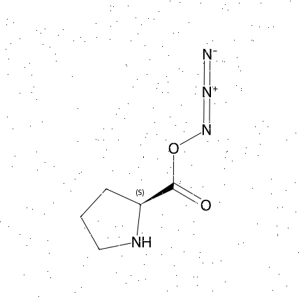 [N-]=[N+]=NOC(=O)[C@@H]1CCCN1